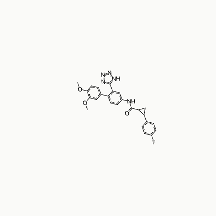 COc1ccc(-c2ccc(NC(=O)C3CC3c3ccc(F)cc3)cc2-c2nnn[nH]2)cc1OC